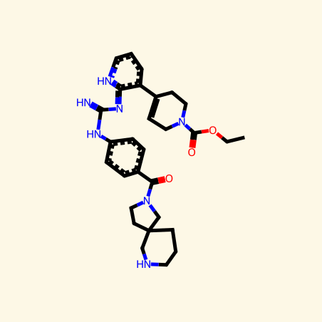 CCOC(=O)N1CC=C(c2ccc[nH]/c2=N\C(=N)Nc2ccc(C(=O)N3CCC4(CCCNC4)C3)cc2)CC1